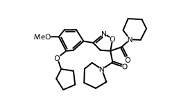 COc1ccc(C2=NOC(C(=O)N3CCCCC3)(C(=O)N3CCCCC3)C2)cc1OC1CCCC1